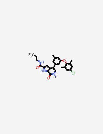 Cc1cc(Oc2c(C)cc(Cl)cc2C)cc(-c2cn(C)c(=O)c3[nH]c(C(=O)NCCC(F)(F)F)cc23)c1